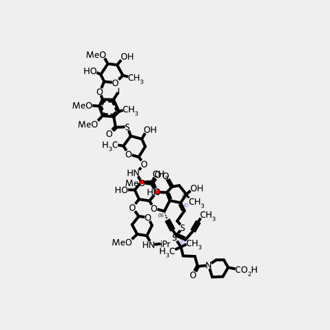 CC#C/C=C\C#C[C@H](OC1OC(C)C(NOC2CC(O)C(SC(=O)c3c(C)c(I)c(OC4OC(C)C(O)C(OC)C4O)c(OC)c3OC)C(C)O2)C(O)C1OC1CC(OC)C(NC(C)C)CO1)C1=C(NC(=O)OC)C(=O)C[C@](C)(O)/C1=C/CSSC(C)(C)CCC(=O)N1CCC(C(=O)O)CC1